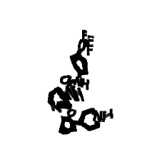 O=C(Nc1ccc(OC(F)(F)F)cc1)Nc1cccnc1Oc1ccccc1C1CCNCC1